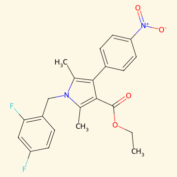 CCOC(=O)c1c(-c2ccc([N+](=O)[O-])cc2)c(C)n(Cc2ccc(F)cc2F)c1C